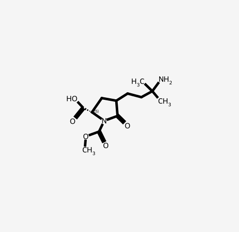 COC(=O)N1C(=O)C(CCC(C)(C)N)C[C@H]1C(=O)O